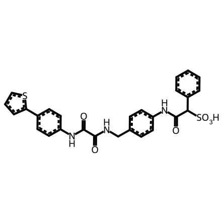 O=C(NCc1ccc(NC(=O)C(c2ccccc2)S(=O)(=O)O)cc1)C(=O)Nc1ccc(-c2cccs2)cc1